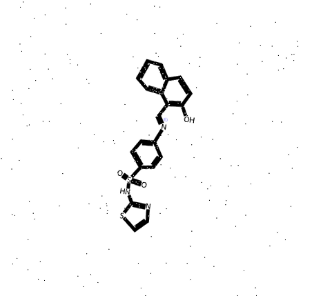 O=S(=O)(Nc1nccs1)c1ccc(/N=C/c2c(O)ccc3ccccc23)cc1